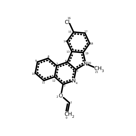 C=COc1nc2c(c3ccccc13)c1cc(Cl)ccc1n2C